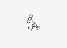 CCC1(OC(=O)CSCc2c3ccccc3cc3ccccc23)C2CC3CC(C2)CC1C3